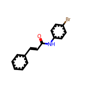 O=C(C=Cc1ccccc1)Nc1ccc(Br)cc1